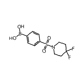 O=S(=O)(c1ccc(B(O)O)cc1)N1CCC(F)(F)CC1